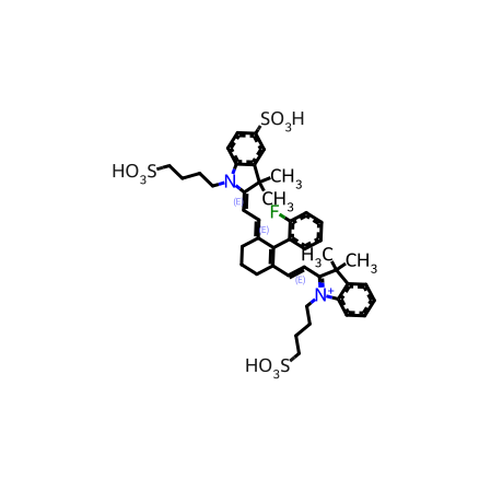 CC1(C)C(/C=C/C2=C(c3ccccc3F)C(=C/C=C3/N(CCCCS(=O)(=O)O)c4ccc(S(=O)(=O)O)cc4C3(C)C)/CCC2)=[N+](CCCCS(=O)(=O)O)c2ccccc21